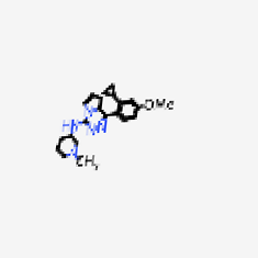 COc1ccc(C2=NN=C(NC3CCCN(C)C3)N3C=CCC23)c(C2CC2)c1